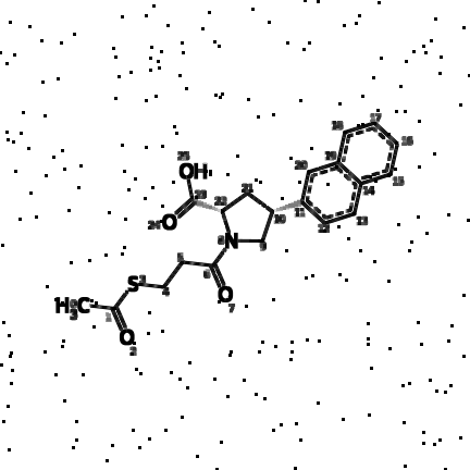 CC(=O)SCCC(=O)N1C[C@@H](c2ccc3ccccc3c2)C[C@H]1C(=O)O